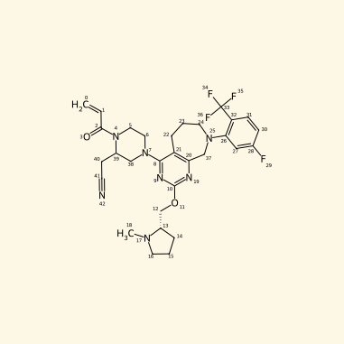 C=CC(=O)N1CCN(c2nc(OC[C@@H]3CCCN3C)nc3c2CCCN(c2cc(F)ccc2C(F)(F)F)C3)CC1CC#N